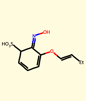 CCC=COC1=CC=CC(S(=O)(=O)O)C1=NO